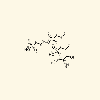 CCCS(=O)(=O)O.CCCS(=O)(=O)O.CCCS(=O)(=O)O.OCC(O)CO